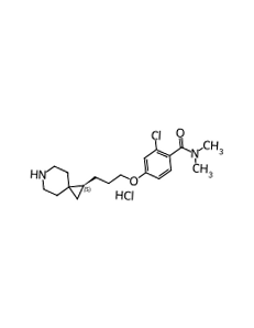 CN(C)C(=O)c1ccc(OCCC[C@H]2CC23CCNCC3)cc1Cl.Cl